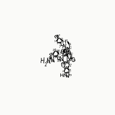 C#CCN(C(=O)NCc1ccc(OC)cc1)N1CC(=O)N2[C@@H](Cc3ccc4[nH]ncc4c3)C(=O)N(Cc3cccc4sc(N)nc34)C[C@@H]21